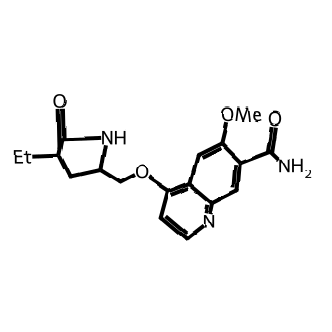 CCC1CC(COc2ccnc3cc(C(N)=O)c(OC)cc23)NC1=O